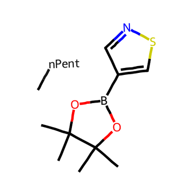 CC1(C)OB(c2cnsc2)OC1(C)C.CCCCCC